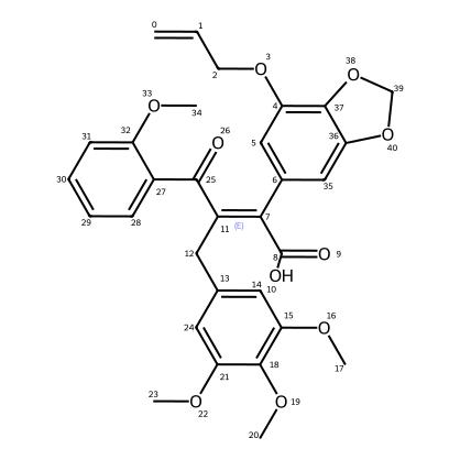 C=CCOc1cc(/C(C(=O)O)=C(/Cc2cc(OC)c(OC)c(OC)c2)C(=O)c2ccccc2OC)cc2c1OCO2